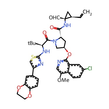 C=C[C@@H]1C[C@@]1(C=O)NC(=O)[C@@H]1C[C@@H](Oc2ncc(OC)c3ccc(Cl)cc23)CN1C(=O)[C@@H](Nc1nc(-c2ccc3c(c2)OCCO3)cs1)C(C)(C)C